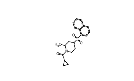 CC1CN(S(=O)(=O)c2cccc3ccccc23)CCN1C(=O)C1CC1